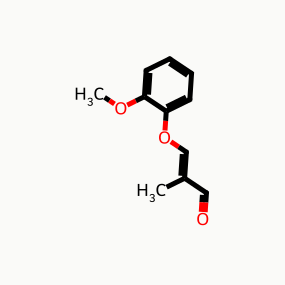 COc1ccccc1O/C=C(\C)C=O